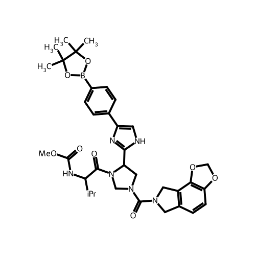 COC(=O)NC(C(=O)N1CN(C(=O)N2Cc3ccc4c(c3C2)OCO4)CC1c1nc(-c2ccc(B3OC(C)(C)C(C)(C)O3)cc2)c[nH]1)C(C)C